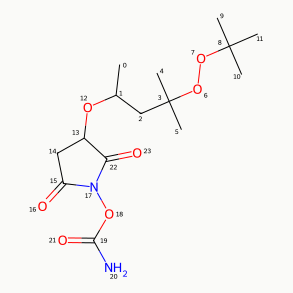 CC(CC(C)(C)OOC(C)(C)C)OC1CC(=O)N(OC(N)=O)C1=O